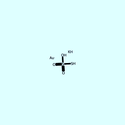 O=S(=O)(O)S.[Au].[KH]